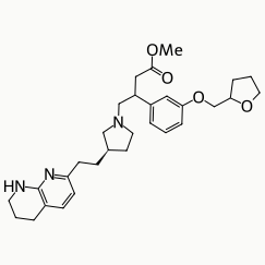 COC(=O)CC(CN1CC[C@@H](CCc2ccc3c(n2)NCCC3)C1)c1cccc(OCC2CCCO2)c1